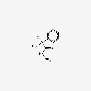 CC(Cl)(C(=O)NN)c1ccccc1